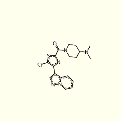 CN(C)C1CCN(C(=O)c2nc(-c3cnn4ccccc34)c(Cl)s2)CC1